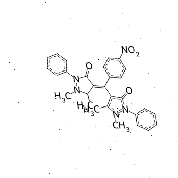 Cc1c(C(=C2C(=O)N(c3ccccc3)N(C)C2C)c2ccc([N+](=O)[O-])cc2)c(=O)n(-c2ccccc2)n1C